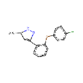 O=CC1C=C(c2ccccc2Sc2ccc(F)cc2)NN1